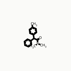 Cc1ccc(C(C(=O)N(C)C)c2ccccc2)cc1